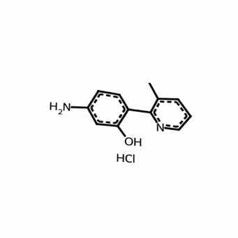 Cc1cccnc1-c1ccc(N)cc1O.Cl